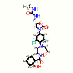 CNC(=O)NC[C@H]1CN(c2cc(F)c(N3CCON(C(=O)c4ccccc4O)CC3)c(F)c2)C(=O)O1